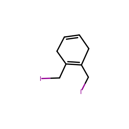 ICC1=C(CI)CC=CC1